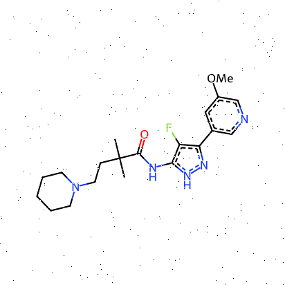 COc1cncc(-c2n[nH]c(NC(=O)C(C)(C)CCN3CCCCC3)c2F)c1